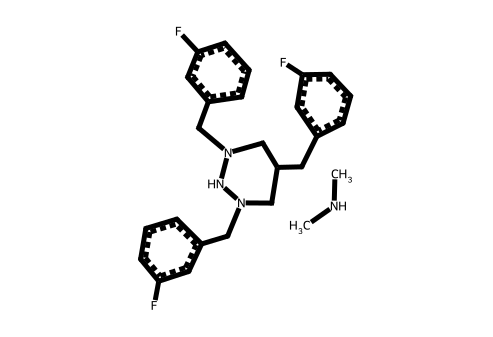 CNC.Fc1cccc(CC2CN(Cc3cccc(F)c3)NN(Cc3cccc(F)c3)C2)c1